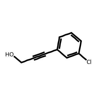 OCC#Cc1cccc(Cl)c1